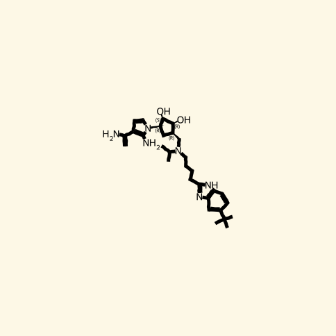 C=C(N)c1ccn([C@@H]2C[C@H](CN(CCCCc3nc4cc(C(C)(C)C)ccc4[nH]3)C(C)C)[C@@H](O)[C@H]2O)c1N